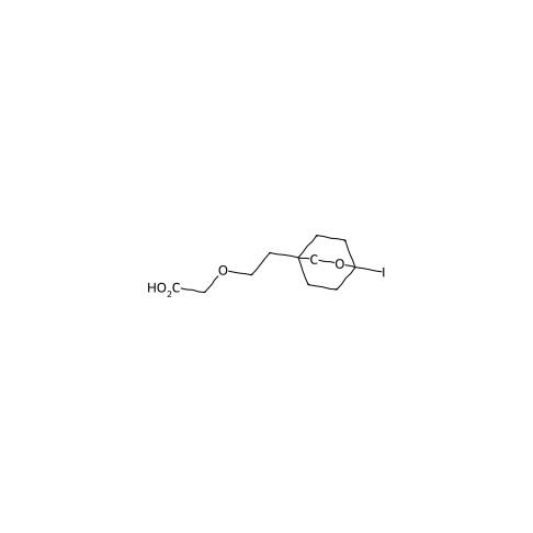 O=C(O)COCCC12CCC(I)(CC1)OC2